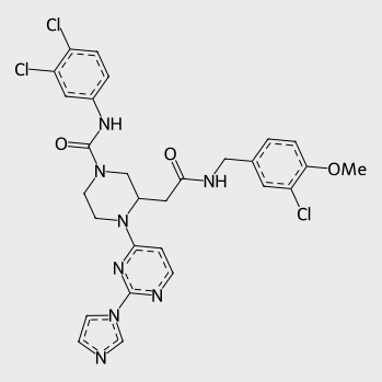 COc1ccc(CNC(=O)CC2CN(C(=O)Nc3ccc(Cl)c(Cl)c3)CCN2c2ccnc(-n3ccnc3)n2)cc1Cl